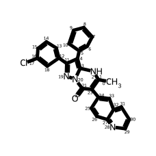 Cc1[nH]c2c(-c3ccccc3)c(-c3cccc(Cl)c3)nn2c(=O)c1-c1ccc2ncccc2c1